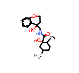 CC1CCC(C(C)C)[C@@](O)(C(=O)NCC2(O)CCOc3ccccc32)C1